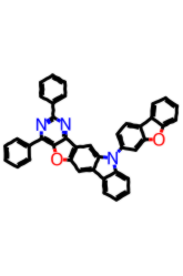 c1ccc(-c2nc(-c3ccccc3)c3oc4cc5c6ccccc6n(-c6ccc7c(c6)oc6ccccc67)c5cc4c3n2)cc1